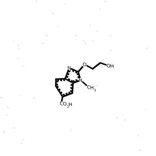 Cn1c(OCCO)nc2ccc(C(=O)O)cc21